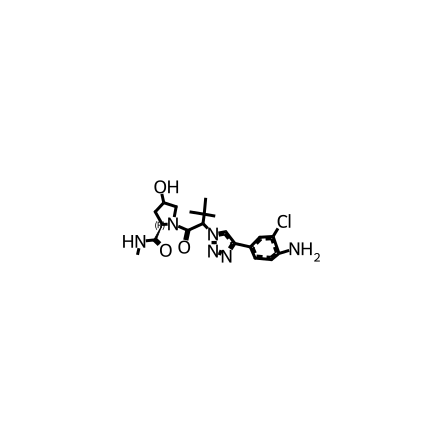 CNC(=O)[C@H]1CC(O)CN1C(=O)C(n1cc(-c2ccc(N)c(Cl)c2)nn1)C(C)(C)C